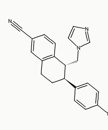 N#Cc1ccc2c(c1)CC[C@H](c1ccc(F)cc1)[C@H]2Cn1ccnc1